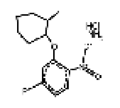 CC1CCCCC1Oc1cc(F)ccc1[N+](=O)[O-].Cl.N